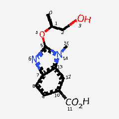 CC(CO)Oc1nc2ccc(C(=O)O)cc2n1C